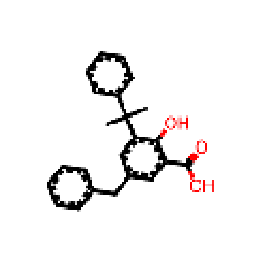 CC(C)(c1ccccc1)c1cc(Cc2ccccc2)cc(C(=O)O)c1O